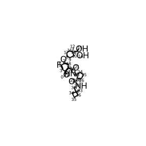 COc1cc(F)c(O[C@H]2CC[C@@](C)(C(O)O)CC2)cc1C(=O)N[C@@H]1CCC[C@@H]1C(=O)NCC1(C)CCC1